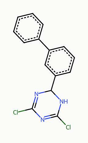 ClC1=NC(c2cccc(-c3ccccc3)c2)NC(Cl)=N1